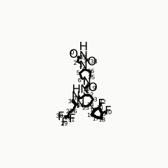 O=C1CN(C2CCN(C(=O)N[C@@H]3CC[C@@H](c4cccc(F)c4F)Cn4c(CCC(F)(F)F)cnc43)CC2)C(=O)N1